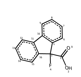 O=C(O)C1(F)c2ccccc2-c2ccccc21